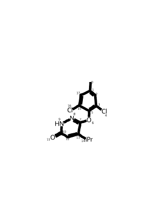 Cc1cc(Cl)c(Oc2n[nH]c(=O)cc2C(C)C)c(Cl)c1